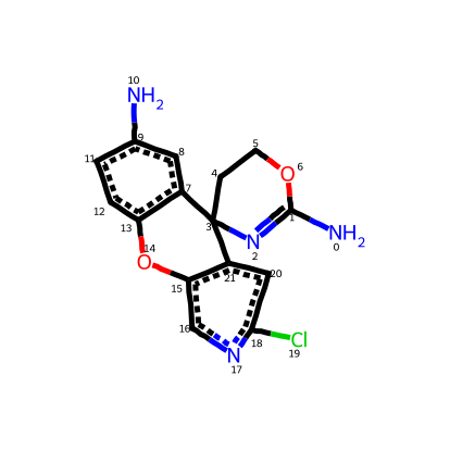 NC1=NC2(CCO1)c1cc(N)ccc1Oc1cnc(Cl)cc12